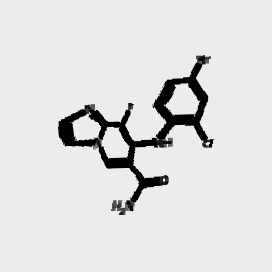 NC(=O)c1cn2ccnc2c(F)c1Nc1ccc(Br)cc1Cl